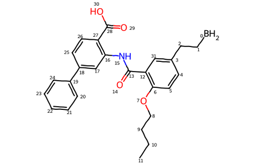 BCCc1ccc(OCCCC)c(C(=O)Nc2cc(-c3ccccc3)ccc2C(=O)O)c1